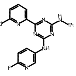 CC(C)Nc1nc(Nc2ccc(F)nc2)nc(-c2cccc(Cl)n2)n1